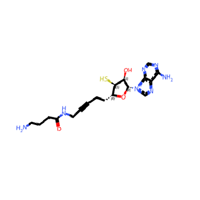 NCCCC(=O)NCC#CCC[C@H]1O[C@@H](n2cnc3c(N)ncnc32)[C@H](O)[C@@H]1S